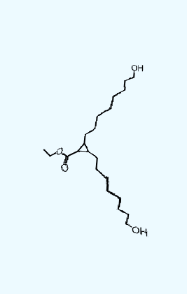 CCOC(=O)C1C(CCCCCCCCO)C1CCCCCCCCO